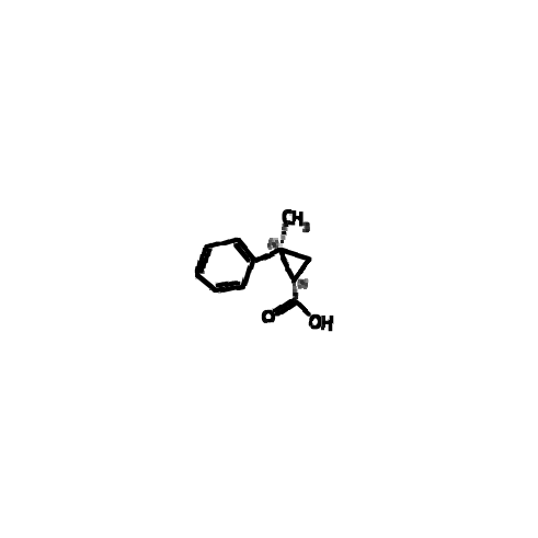 C[C@]1(c2ccccc2)C[C@@H]1C(=O)O